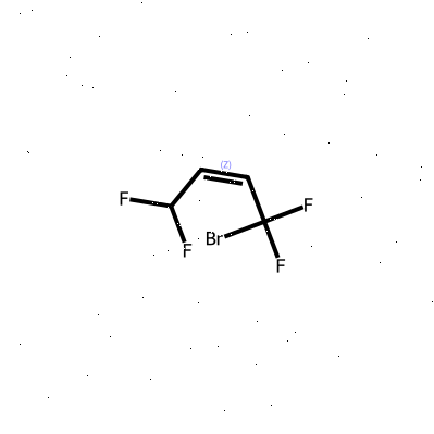 FC(F)/C=C\C(F)(F)Br